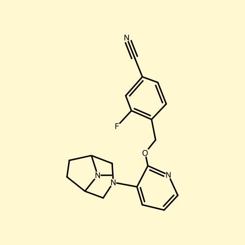 CN1C2CCC1CN(c1cccnc1OCc1ccc(C#N)cc1F)C2